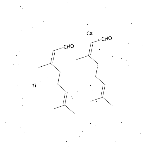 CC(C)=CCC/C(C)=C\C=O.CC(C)=CCC/C(C)=C\C=O.[Ca].[Ti]